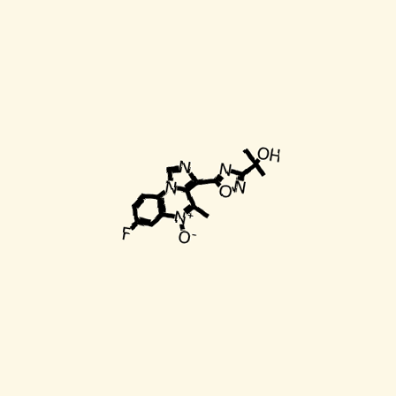 Cc1c2c(-c3nc(C(C)(C)O)no3)ncn2c2ccc(F)cc2[n+]1[O-]